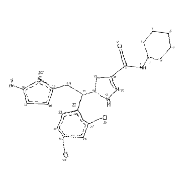 O=C(NN1CCCCC1)C1=NNC(C(Cc2ccc(Br)s2)c2ccc(Cl)cc2Cl)C1